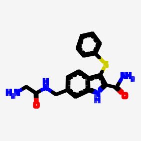 NCC(=O)NCc1ccc2c(Sc3ccccc3)c(C(N)=O)[nH]c2c1